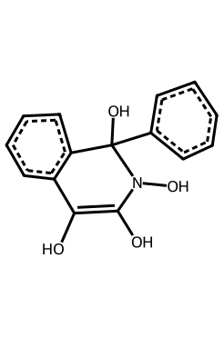 OC1=C(O)N(O)C(O)(c2ccccc2)c2ccccc21